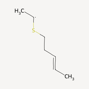 C[CH]SCC/C=C/C